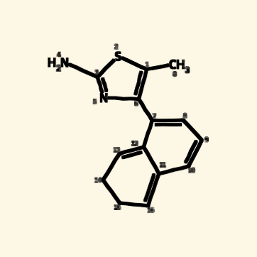 Cc1sc(N)nc1-c1cccc2c1=CCCC=2